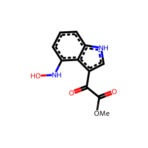 COC(=O)C(=O)c1c[nH]c2cccc(NO)c12